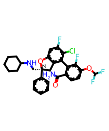 NC(=O)c1ccc(OC(F)F)c(F)c1-c1c(Cl)c(F)cc2c1C[C@@](CNC1CCCCC1)(c1ccccc1)O2